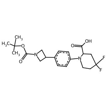 CC(C)(C)OC(=O)N1CC(c2ccc(N3CCC(F)(F)CC3C(=O)O)cc2)C1